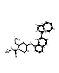 COCC1CC(Oc2cccc3ccc(-c4nnc5ccccn45)nc23)CCN1C(=O)OC(C)(C)C